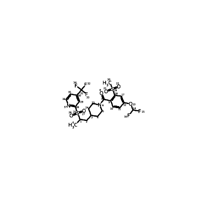 CC(CC1CCN(C(=O)c2ccc(OC(F)F)cc2S(C)(=O)=O)CC1)S(=O)(=O)c1cc(C(F)(F)F)ccn1